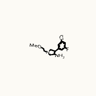 COCCN1CC(N)C(c2cc(F)cc(Cl)c2)C1